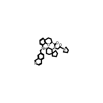 O=C(CN(C(=O)[C@@H]1CCc2cccc(NCc3ccc4ccncc4c3)c2O1)[C@@H]1CCCCC12CCCC2)N1CCCC1